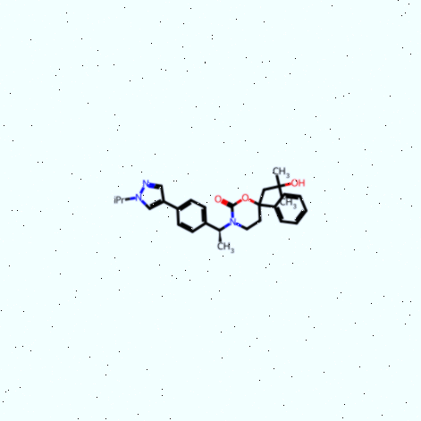 CC(C)n1cc(-c2ccc([C@H](C)N3CCC(CC(C)(C)O)(c4ccccc4)OC3=O)cc2)cn1